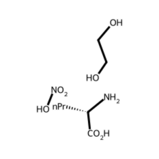 CCC[C@H](N)C(=O)O.O=[N+]([O-])O.OCCO